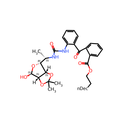 CCCCCCCCCCCCOC(=O)c1ccccc1C(=O)c1ccccc1NC(=O)N[C@@H](C)[C@H]1O[C@H](O)[C@H]2OC(C)(C)O[C@@H]12